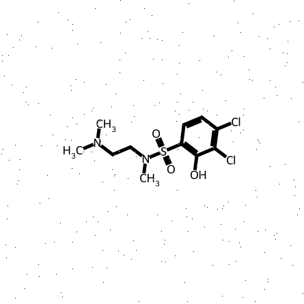 CN(C)CCN(C)S(=O)(=O)c1ccc(Cl)c(Cl)c1O